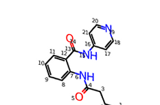 CCCCC(=O)Nc1ccccc1C(=O)Nc1ccncc1